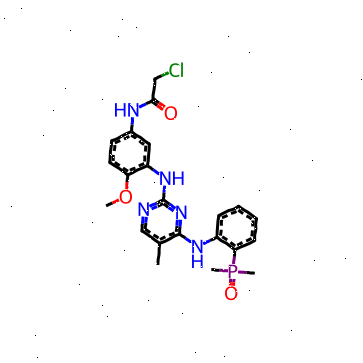 COc1ccc(NC(=O)CCl)cc1Nc1ncc(C)c(Nc2ccccc2P(C)(C)=O)n1